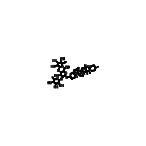 CC1O[C@@H](OC2[C@H](OC3CC[C@@]4(C)C(=CC[C@H]5[C@@H]6C[C@@H]7O[C@]8(CC[C@@H](C)CO8)[C@@H](C)[C@@H]7[C@@]6(C)CC[C@@H]54)C3)OC(CO)[C@@H](O[C@@H]3OC(C)[C@H](O)[C@H](O)C3O)[C@@H]2O)C(O)[C@@H](O)[C@H]1O